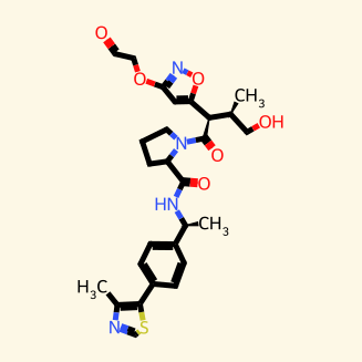 Cc1ncsc1-c1ccc([C@H](C)NC(=O)C2CCCN2C(=O)[C@@H](c2cc(OCC=O)no2)[C@@H](C)CO)cc1